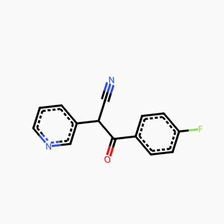 N#CC(C(=O)c1ccc(F)cc1)c1cccnc1